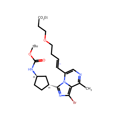 CCOC(=O)CCOCC/C=C/c1cnc(C)c2c(Br)nc([C@@H]3CC[C@@H](NC(=O)OC(C)(C)C)C3)n12